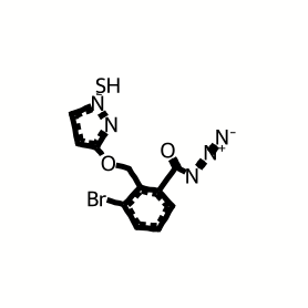 [N-]=[N+]=NC(=O)c1cccc(Br)c1COc1ccn(S)n1